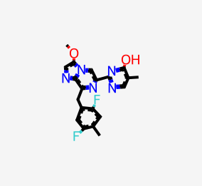 COc1cnc2c(Cc3cc(F)c(C)cc3F)nc(-c3ncc(C)c(O)n3)cn12